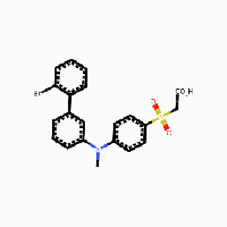 CCc1ccccc1-c1cccc(N(C)c2ccc(S(=O)(=O)CC(=O)O)cc2)c1